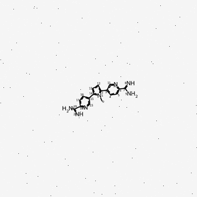 Cn1c(-c2ccc(C(=N)N)nc2)ccc1-c1ccc(C(=N)N)nc1